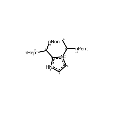 CCCCCCCCCC(CCCCCCC)c1[nH]cc[n+]1C(C)CCCCC